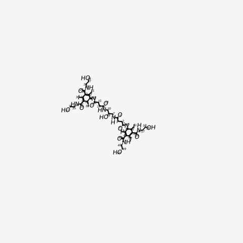 O=C(CCC(=O)NCC(O)CNC(=O)CCC(=O)N=C1C(I)=C(C(=O)NCCO)C(I)=C(C(=O)NCCO)C1I)N=C1C(I)=C(C(=O)NCCO)C(I)=C(C(=O)NCCO)C1I